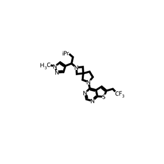 CC(C)CC(c1cnn(C)c1)N1CC2(CCN(c3ncnc4sc(CC(F)(F)F)cc34)C2)C1